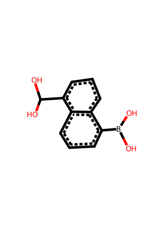 OB(O)c1cccc2c(C(O)O)cccc12